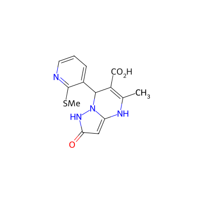 CSc1ncccc1C1C(C(=O)O)=C(C)Nc2cc(=O)[nH]n21